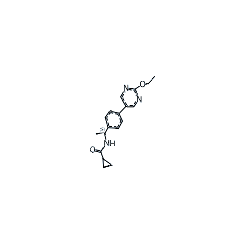 CCOc1ncc(-c2ccc([C@H](C)NC(=O)C3CC3)cc2)cn1